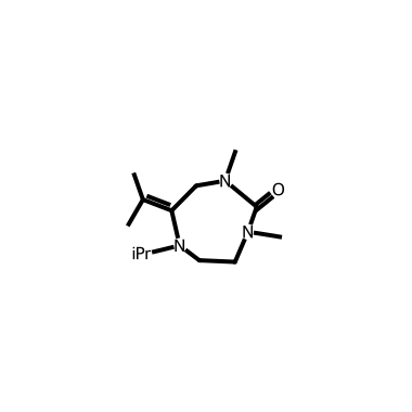 CC(C)=C1CN(C)C(=O)N(C)CCN1C(C)C